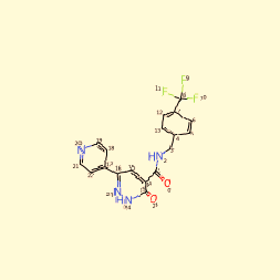 O=C(NCc1ccc(C(F)(F)F)cc1)c1cc(-c2ccncc2)n[nH]c1=O